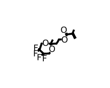 C=C(C)C(=O)OCCC1(C)OCC(F)(F)C(F)(F)CO1